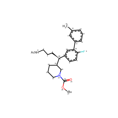 CC(=O)NCCC[C@@H](c1ccc(F)c(-c2cccc(C)c2)c1)C1CCCN(C(=O)OC(C)(C)C)C1